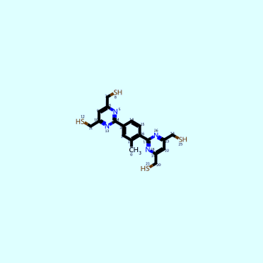 Cc1cc(-c2nc(CS)cc(CS)n2)ccc1-c1nc(CS)cc(CS)n1